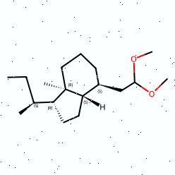 CC[C@H](C)[C@H]1CC[C@H]2[C@H](CC(OC)OC)CCC[C@]12C